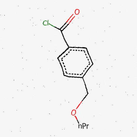 CCCOCc1ccc(C(=O)Cl)cc1